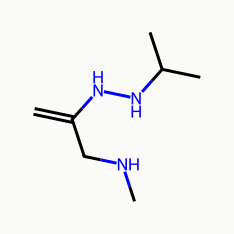 C=C(CNC)NNC(C)C